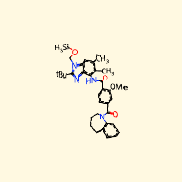 COc1cc(C(=O)N2CCCCc3ccccc32)ccc1C(=O)Nc1c(C)c(C)cc2c1nc(C(C)(C)C)n2CO[SiH3]